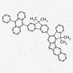 CC1(C)c2ccc(-c3cc4sc5cc6ccccc6cc5c4c4c3-c3ccccc3C4(C)C)cc2-c2ccc(-c3c4ccccc4c(-c4ccccc4)c4ccccc34)cc21